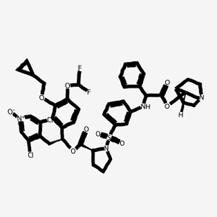 O=C(O[C@H]1CN2CCC1CC2)C(Nc1cccc(S(=O)(=O)N2CCC[C@H]2C(=O)O[C@@H](Cc2c(Cl)c[n+]([O-])cc2Cl)c2ccc(OC(F)F)c(OCC3CC3)c2)c1)c1ccccc1